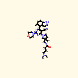 Cc1ccc2[nH]ncc2c1-c1nc(N2CCOCC2)nc(N2CCC3(CN(C(=O)/C=C/CN(C)C)C3)C2)c1C#N